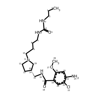 CCCNC(=O)NCCCCN1CC[C@@H](CNC(=O)c2cc(Cl)c(N)cc2OC)C1